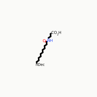 CCCCCCCCCCCCCCCCCCCCC(=O)NCCCC(=O)O